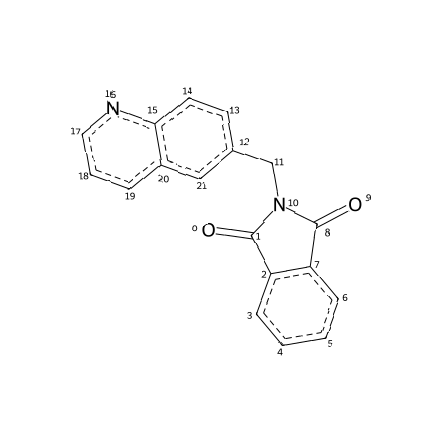 O=C1c2ccccc2C(=O)N1Cc1ccc2ncccc2c1